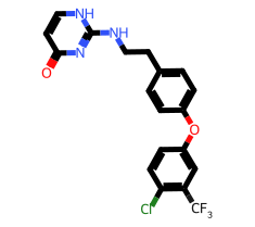 O=c1cc[nH]c(NCCc2ccc(Oc3ccc(Cl)c(C(F)(F)F)c3)cc2)n1